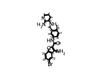 Nc1ncccc1NCc1cc(NC(=O)c2oc3ccc(Br)cc3c2N)ccc1F